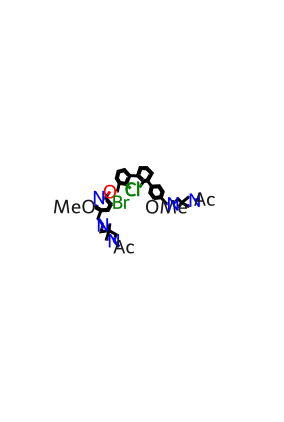 COc1cc(-c2cccc(-c3cccc(COc4nc(OC)c(CN5CC6(C5)CN(C(C)=O)C6)cc4Br)c3Cl)c2Cl)ccc1CN1CC2(C1)CN(C(C)=O)C2